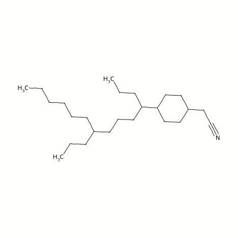 CCCCCCC(CCC)CCCC(CCC)C1CCC(CC#N)CC1